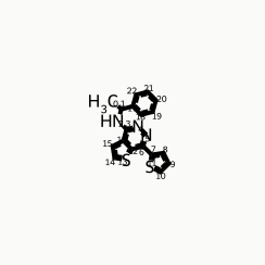 CC(Nc1nnc(-c2cccs2)c2sccc12)c1ccccc1